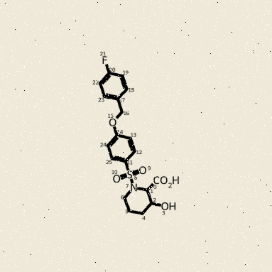 O=C(O)C1C(O)CCCN1S(=O)(=O)c1ccc(OCc2ccc(F)cc2)cc1